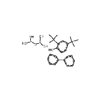 CC(C)(C)c1ccc(O)c(C(C)(C)C)c1.OP(O)OP(O)O.c1ccc(-c2ccccc2)cc1